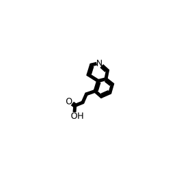 O=C(O)CCc1cccc2cnccc12